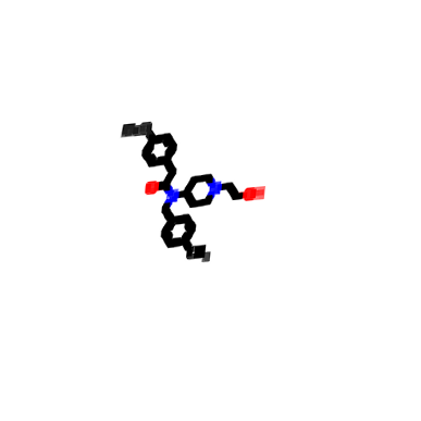 COc1ccc(CC(=O)N(Cc2ccc(C)cc2)C2CCN(CCO)CC2)cc1